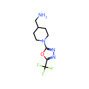 NCC1CCN(c2nnc(C(F)(F)F)o2)CC1